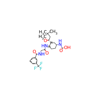 CC(C)(C)CC(=O)[C@@H]1CC(NC(=O)O)CC[C@@H]1NC(=O)CNC(=O)c1cccc(C(F)(F)F)c1